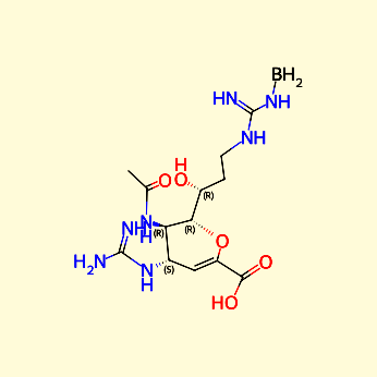 BNC(=N)NCC[C@@H](O)[C@@H]1OC(C(=O)O)=C[C@H](NC(=N)N)[C@H]1NC(C)=O